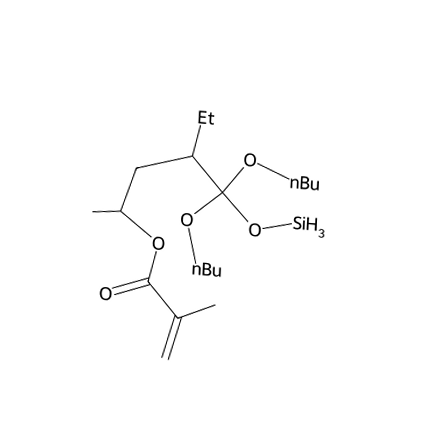 C=C(C)C(=O)OC(C)CC(CC)C(O[SiH3])(OCCCC)OCCCC